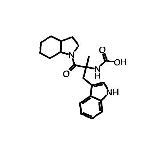 CC(Cc1c[nH]c2ccccc12)(NC(=O)O)C(=O)N1CCC2CCCCC21